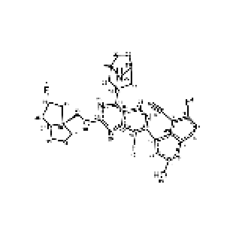 C#Cc1c(F)ccc2cc(O)cc(-c3nnc4c(N5CC6CCC(C5)N6)nc(OC[C@@]56CCCN5C[C@H](F)C6)nc4c3F)c12